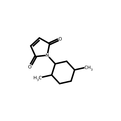 CC1CCC(C)C(N2C(=O)C=CC2=O)C1